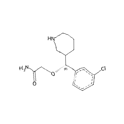 NC(=O)CO[C@@H](c1cccc(Cl)c1)C1CCCNC1